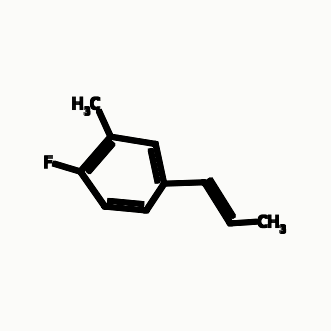 CC=Cc1ccc(F)c(C)c1